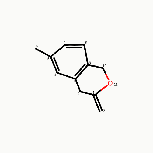 C=C1Cc2cc(C)ccc2CO1